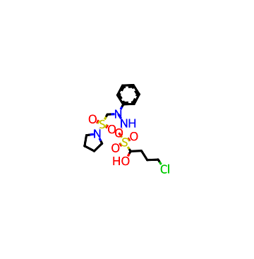 O=S(=O)(ONN(CS(=O)(=O)N1CCCC1)c1ccccc1)C(O)CCCCl